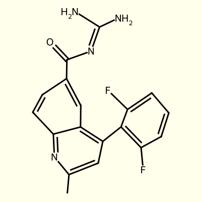 Cc1cc(-c2c(F)cccc2F)c2cc(C(=O)N=C(N)N)ccc2n1